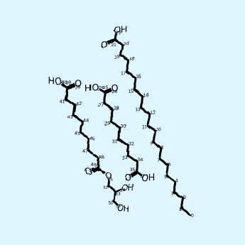 CCCCCCCCCCCCCCCCCCCCCC(=O)O.O=C(O)CCCCCCCCC(=O)O.O=C(O)CCCCCCCCC(=O)OCC(O)CO